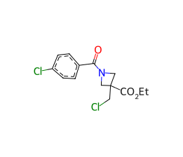 CCOC(=O)C1(CCl)CN(C(=O)c2ccc(Cl)cc2)C1